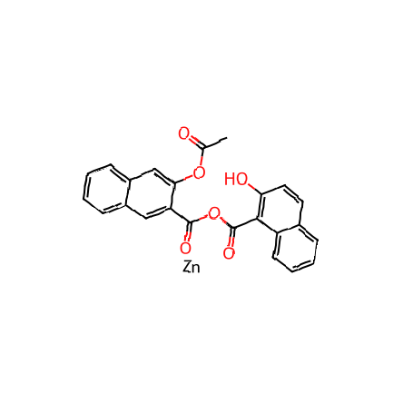 CC(=O)Oc1cc2ccccc2cc1C(=O)OC(=O)c1c(O)ccc2ccccc12.[Zn]